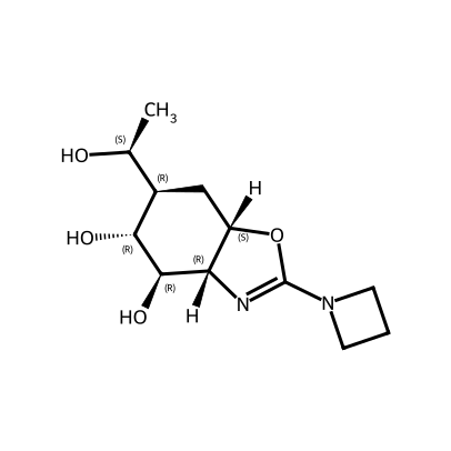 C[C@H](O)[C@H]1C[C@@H]2OC(N3CCC3)=N[C@@H]2[C@@H](O)[C@@H]1O